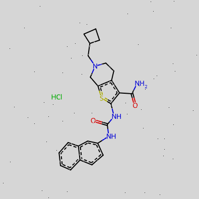 Cl.NC(=O)c1c(NC(=O)Nc2ccc3ccccc3c2)sc2c1CCN(CC1CCC1)C2